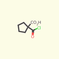 O=C(O)C1(C(=O)Cl)CCCC1